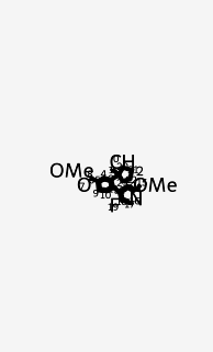 C=CC1(c2cc(C(=O)OC)ccc2-c2cc(OC)ncc2F)CCCC1